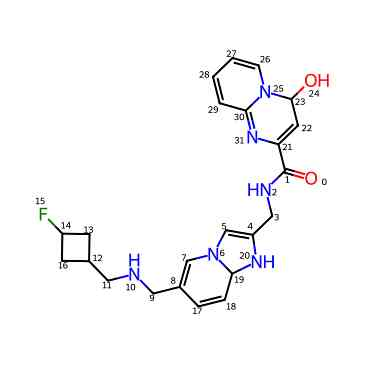 O=C(NCC1=CN2C=C(CNCC3CC(F)C3)C=CC2N1)C1=CC(O)N2C=CC=CC2=N1